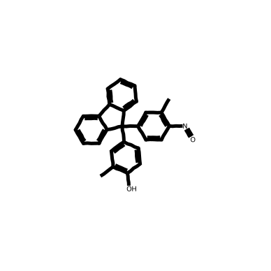 Cc1cc(C2(c3ccc(N=O)c(C)c3)c3ccccc3-c3ccccc32)ccc1O